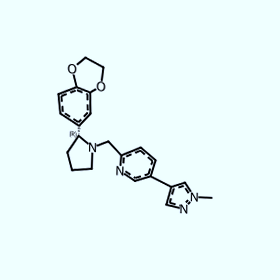 Cn1cc(-c2ccc(CN3CCC[C@@H]3c3ccc4c(c3)OCCO4)nc2)cn1